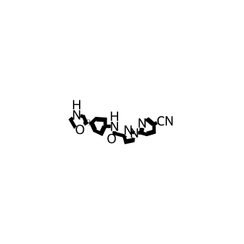 N#Cc1ccc(-n2ccc(C(=O)Nc3ccc([C@H]4CNCCO4)cc3)n2)nc1